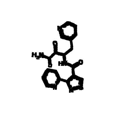 NC(=O)C(=O)C(Cc1cccnc1)NC(=O)c1csnc1-c1ccccn1